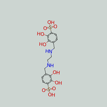 O=S(=O)(O)c1ccc(CNCCNCc2ccc(S(=O)(=O)O)c(O)c2O)c(O)c1O